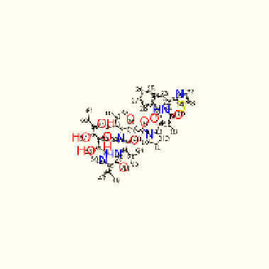 CCC(C)C(C(CC(=O)N1CCCC1C(OC)C(C)C(=O)NC(Cc1ccccc1)c1nccs1)OC)N(C)C(=O)C(NC(=O)C(C(C)C)N(C)CC(O)C(O)C(O)C(O)CC)C(C)C